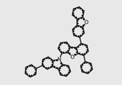 c1ccc(-c2ccc3c(c2)c2ccccc2n3-c2cccc3c2oc2c(-c4ccccc4)ccc(-c4ccc5c(c4)oc4ccccc45)c23)cc1